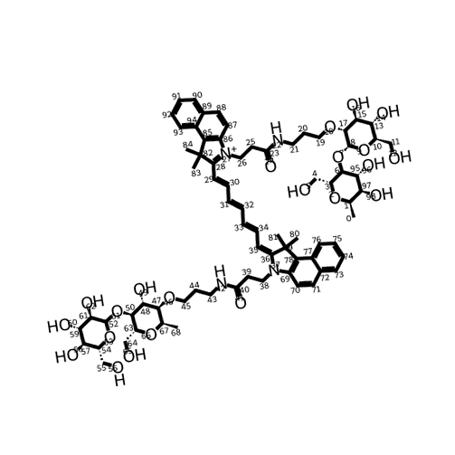 C[C@H]1O[C@H](CO)C(O[C@H]2O[C@H](CO)[C@@H](O)[C@H](O)[C@H]2OCCCNC(=O)CC[N+]2=C(/C=C/C=C/C=C/C=C3/N(CCC(=O)NCCCO[C@@H]4[C@@H](O)[C@H](OC5O[C@H](CO)[C@@H](O)[C@H](O)[C@H]5O)[C@@H](CO)O[C@@H]4C)c4ccc5ccccc5c4C3(C)C)C(C)(C)c3c2ccc2ccccc32)[C@H](O)[C@H]1O